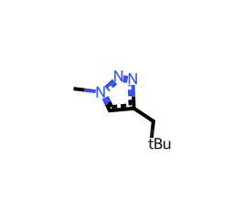 Cn1cc(CC(C)(C)C)nn1